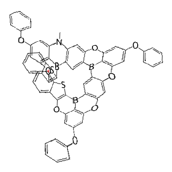 CN1c2cc3c(cc2B2c4sc5ccccc5c4Oc4cc(Oc5ccccc5)cc1c42)B1c2cc4c(cc2Oc2cc(Oc5ccccc5)cc(c21)O3)Oc1cc(Oc2ccccc2)cc2c1B4c1sc3ccccc3c1O2